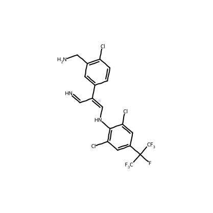 N=C/C(=C\Nc1c(Cl)cc(C(F)(C(F)(F)F)C(F)(F)F)cc1Cl)c1ccc(Cl)c(CN)c1